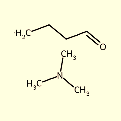 CN(C)C.[CH2]CCC=O